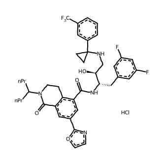 CCCC(CCC)N1CCc2c(C(=O)N[C@@H](Cc3cc(F)cc(F)c3)[C@@H](O)CNC3(c4cccc(C(F)(F)F)c4)CC3)cc(-c3ncco3)cc2C1=O.Cl